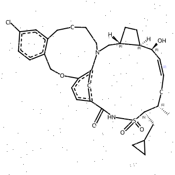 C[C@H]1C/C=C\[C@H](O)[C@@H]2CC[C@H]2CN2CCCCc3cc(Cl)ccc3COc3ccc(cc32)C(=O)NS(=O)(=O)[C@H]1CC1CC1